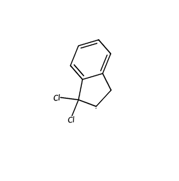 ClC1(Cl)[CH]Cc2ccccc21